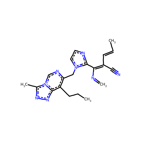 C=N/C(=C(C#N)/C=C/C)c1nccn1Cc1ncn2c(C)nnc2c1CCC